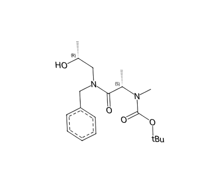 C[C@@H](O)CN(Cc1ccccc1)C(=O)[C@H](C)N(C)C(=O)OC(C)(C)C